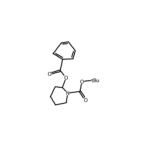 CC(C)(C)OC(=O)N1CCCCC1OC(=O)c1ccccc1